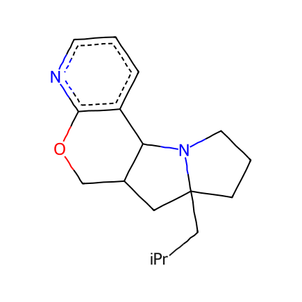 CC(C)CC12CCCN1C1c3cccnc3OCC1C2